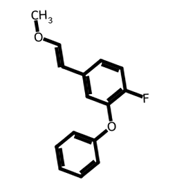 CO/C=C/c1ccc(F)c(Oc2ccccc2)c1